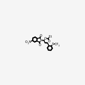 CCC(=O)OC(C=Cc1ccccc1SC(F)(F)F)N1C(=O)c2ccc([N+](=O)[O-])cc2C1=O